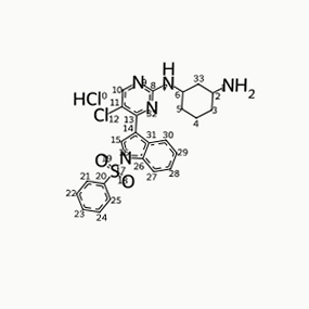 Cl.NC1CCCC(Nc2ncc(Cl)c(-c3cn(S(=O)(=O)c4ccccc4)c4ccccc34)n2)C1